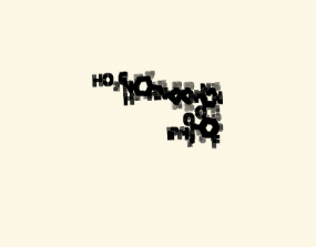 CC(C)N(C)C(=O)c1cc(F)ccc1Oc1cncnc1N1CC2(CC(NCC3CCC(NC(=O)O)CC3)C2)C1